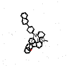 C[SiH]1C2=C(C(N(C3=CC=C(c4ccc5ccccc5c4)CC3)c3ccc(-c4ccccc4)cc3)=CCC2)c2c1ccc1c2oc2ccccc21